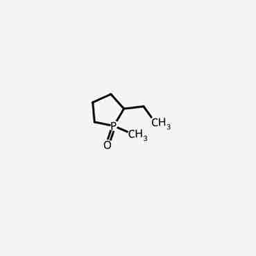 CCC1CCCP1(C)=O